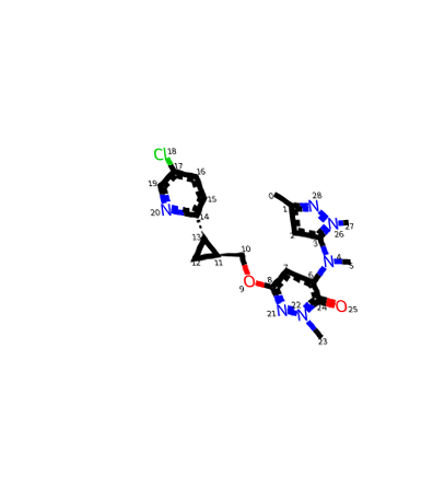 Cc1cc(N(C)c2cc(OC[C@H]3C[C@@H]3c3ccc(Cl)cn3)nn(C)c2=O)n(C)n1